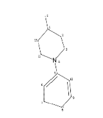 CC1CCN(C2=CC[CH]C=C2)CC1